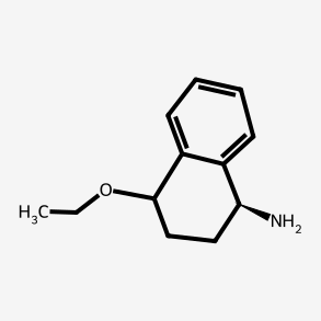 CCOC1CC[C@H](N)c2ccccc21